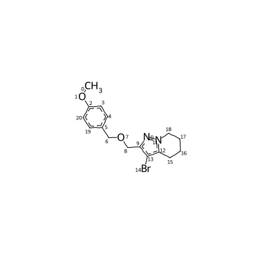 COc1ccc(COCc2nn3c(c2Br)CCCC3)cc1